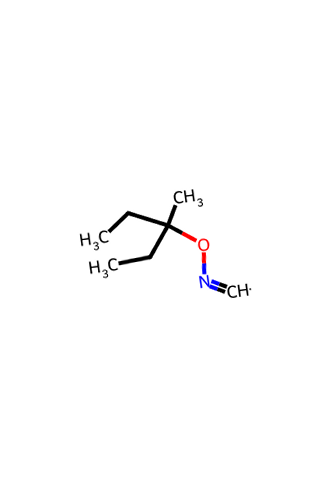 [CH]=NOC(C)(CC)CC